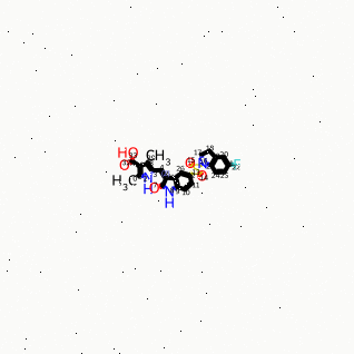 Cc1[nH]c(/C=C2\C(=O)Nc3ccc(S(=O)(=O)N4CCc5cc(F)ccc54)cc32)c(C)c1C(=O)O